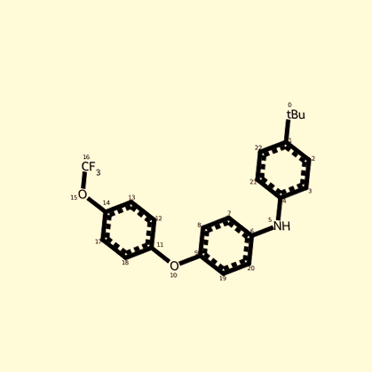 CC(C)(C)c1ccc(Nc2ccc(Oc3ccc(OC(F)(F)F)cc3)cc2)cc1